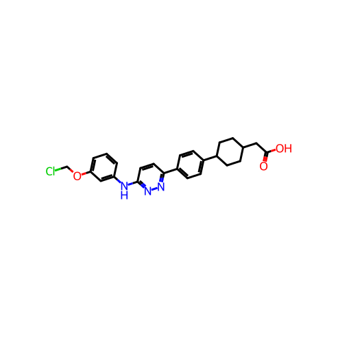 O=C(O)CC1CCC(c2ccc(-c3ccc(Nc4cccc(OCCl)c4)nn3)cc2)CC1